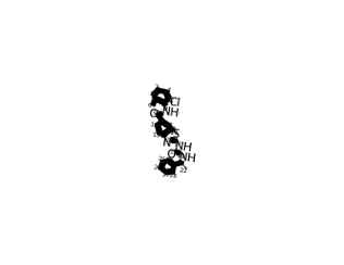 Cc1cccc(Cl)c1NC(=O)c1ccc2nc(NC(=O)N[C@H](C)c3ccccc3)sc2c1